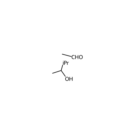 CC(C)C(C)O.CC=O